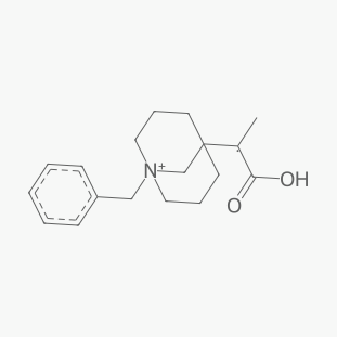 C[C](C(=O)O)C12CCC[N+](Cc3ccccc3)(CCC1)C2